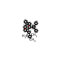 Cc1cc(C)c(-c2ccc3c(c2)c2ccccc2n3-c2cc(-c3nc(-c4ccccc4)cc(-c4ccccc4)n3)ccc2-c2ccccc2-n2c3ccccc3c3ccccc32)c(C)c1